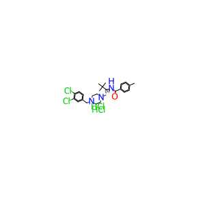 Cc1ccc(C(=O)N[C@H](CN2CCN(Cc3ccc(Cl)c(Cl)c3)CC2)C(C)(C)C)cc1.Cl.Cl